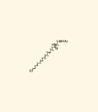 CCC=CCC=CCC=CCC=CCC=CCCCC(=O)NCCNC(C)=O